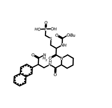 CC(C)COC(=O)NC(CSCP(=O)(O)O)C(=O)N1CCCCC1C(=O)NCC(C(N)=O)c1ccc2ccccc2c1